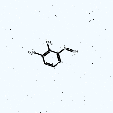 Cc1c(N=N)cccc1[N+](=O)[O-]